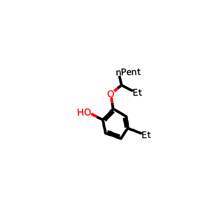 CCCCCC(CC)Oc1cc(CC)ccc1O